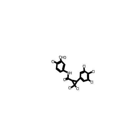 O=Cc1cc(NC(=O)C2C(c3cc(Cl)c(Cl)c(Cl)c3)C2(Cl)Cl)ccc1Cl